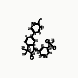 Cc1ncc(-c2ccc3c(c2)N(c2cncc(S(C)(=O)=O)c2)C(=O)C3(C)C)cn1